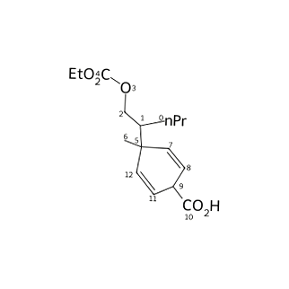 CCCC(COC(=O)OCC)C1(C)C=CC(C(=O)O)C=C1